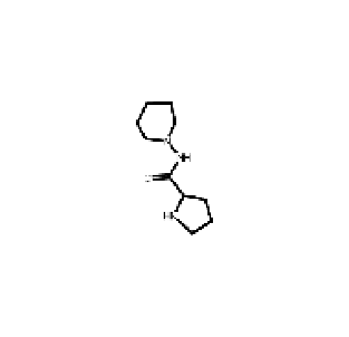 O=C(NN1CCCCC1)C1CCCN1